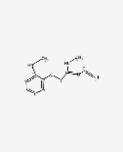 CN/C(COc1ccccc1NC)=N\N=N